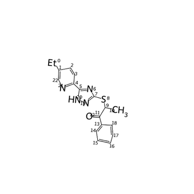 CCc1ccc(-c2nc(SC(C)C(=O)c3ccccc3)n[nH]2)nc1